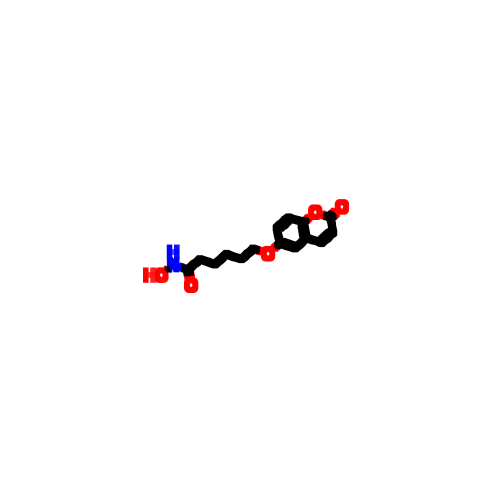 O=C(CCCCCOc1ccc2oc(=O)ccc2c1)NO